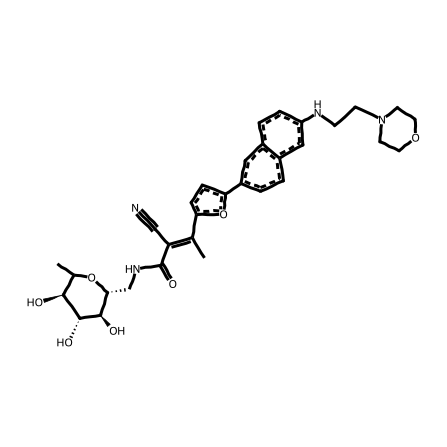 C/C(=C(/C#N)C(=O)NC[C@H]1OC(C)[C@H](O)[C@@H](O)[C@@H]1O)c1ccc(-c2ccc3cc(NCCN4CCOCC4)ccc3c2)o1